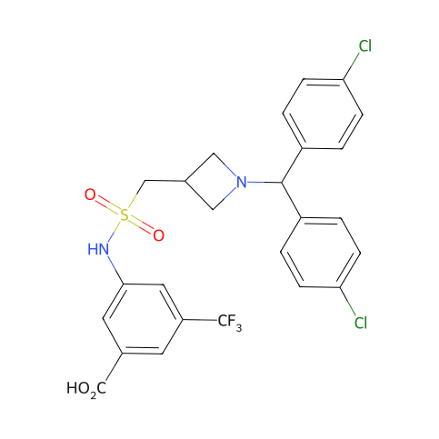 O=C(O)c1cc(NS(=O)(=O)CC2CN(C(c3ccc(Cl)cc3)c3ccc(Cl)cc3)C2)cc(C(F)(F)F)c1